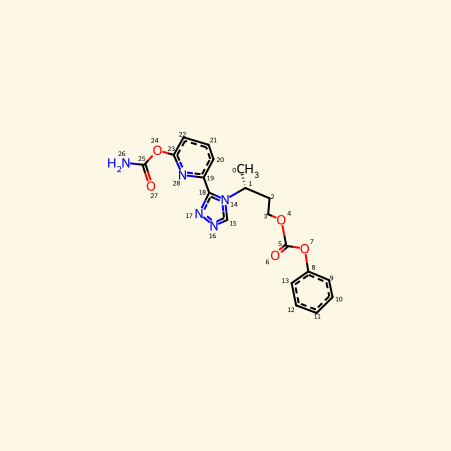 C[C@H](CCOC(=O)Oc1ccccc1)n1cnnc1-c1cccc(OC(N)=O)n1